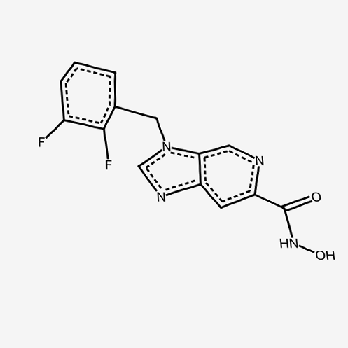 O=C(NO)c1cc2ncn(Cc3cccc(F)c3F)c2cn1